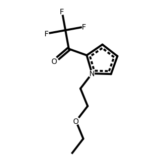 CCOCCn1cccc1C(=O)C(F)(F)F